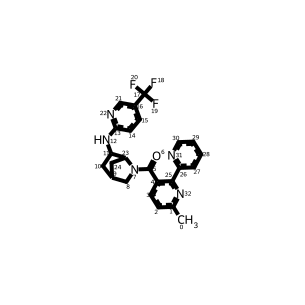 Cc1ccc(C(=O)N2CC3CC(Nc4ccc(C(F)(F)F)cn4)C2C3)c(-c2ccccn2)n1